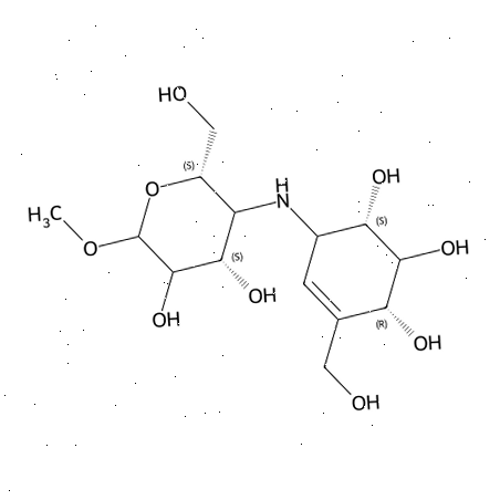 COC1O[C@H](CO)C(NC2C=C(CO)[C@@H](O)C(O)[C@H]2O)[C@H](O)C1O